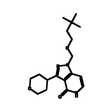 C[Si](C)(C)CCOCn1nc(C2CCOCC2)c2c(=O)[nH]ccc21